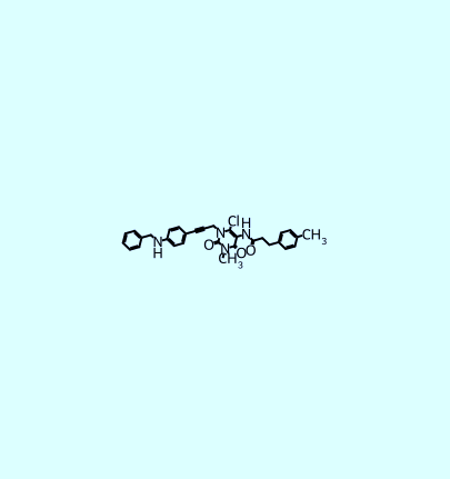 Cc1ccc(CCC(=O)Nc2c(Cl)n(CC#Cc3ccc(NCc4ccccc4)cc3)c(=O)n(C)c2=O)cc1